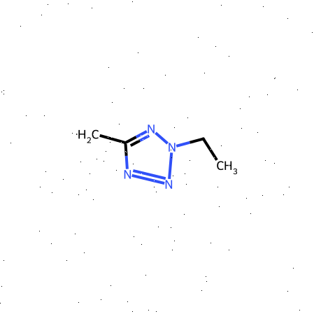 [CH2]c1nnn(CC)n1